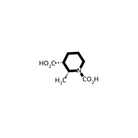 C[C@@H]1[C@H](C(=O)O)CCCN1C(=O)O